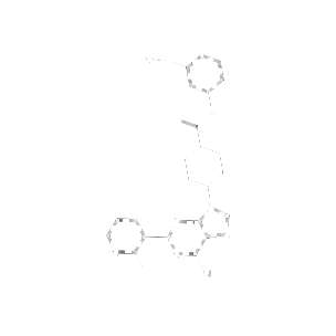 COc1cccc(NC(=O)C2CCC(n3cnc4c(N)nc(-c5cccnc5F)nc43)CC2)c1